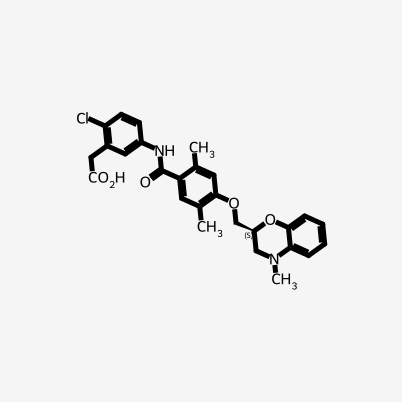 Cc1cc(C(=O)Nc2ccc(Cl)c(CC(=O)O)c2)c(C)cc1OC[C@@H]1CN(C)c2ccccc2O1